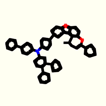 CC1CC=C(c2ccccc2)Oc2ccc3oc4ccc(-c5ccc(N(c6ccc(-c7ccccc7)cc6)c6ccc(-c7ccccc7)c(-c7ccccc7)c6)cc5)cc4c3c21